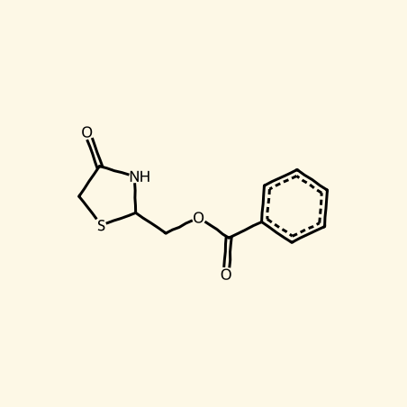 O=C1CSC(COC(=O)c2ccccc2)N1